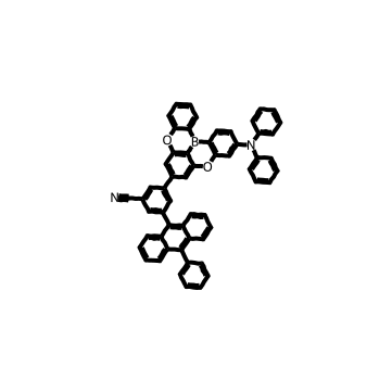 N#Cc1cc(-c2cc3c4c(c2)Oc2cc(N(c5ccccc5)c5ccccc5)ccc2B4c2ccccc2O3)cc(-c2c3ccccc3c(-c3ccccc3)c3ccccc23)c1